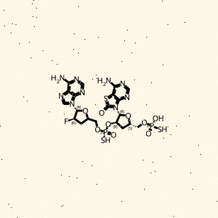 Nc1ncnc2c1ncn2[C@@H]1OC(CO[P@](=O)(S)O[C@@H]2C[C@@H](CO[P@@](=O)(O)S)O[C@H]2n2c(=O)sc3c(N)ncnc32)C[C@H]1F